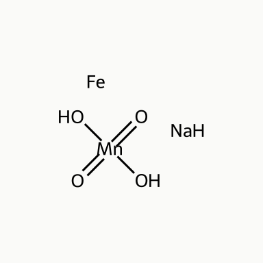 [Fe].[NaH].[O]=[Mn](=[O])([OH])[OH]